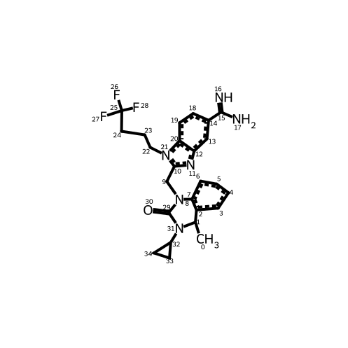 CC1c2ccccc2N(Cc2nc3cc(C(=N)N)ccc3n2CCCC(F)(F)F)C(=O)N1C1CC1